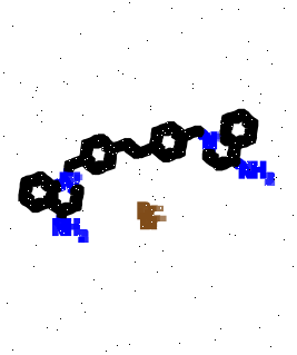 Nc1cc[n+](Cc2ccc(C=Cc3ccc(C[n+]4ccc(N)c5ccccc54)cc3)cc2)c2ccccc12.[Br-].[Br-]